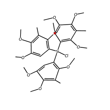 COc1cc([Si](Cl)(c2cc(OC)c(OC)c(C)c2OC)c2cc(OC)c(OC)c(C)c2OC)c(OC)c(C)c1OC